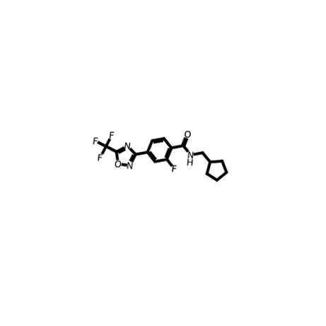 O=C(NCC1CCCC1)c1ccc(-c2noc(C(F)(F)F)n2)cc1F